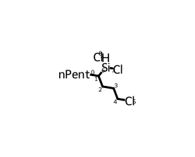 CCCCCC(CCCCl)[SiH](Cl)Cl